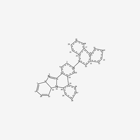 C1=CC2N=C3c4ccc(-c5cc6ccccc6c6ccccc56)cc4-c4ccccc4N3C2C=C1